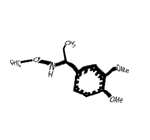 COc1ccc(C(C)NOC=O)cc1OC